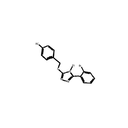 CCn1c(SCc2ccc(C#N)cc2)nnc1-c1ccccc1Br